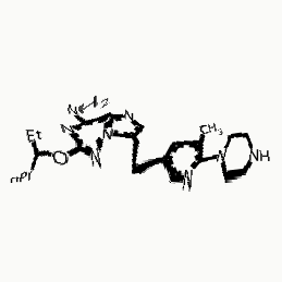 CCCC(CC)Oc1nc(N)c2ncc(Cc3cnc(N4CCNCC4)c(C)c3)n2n1